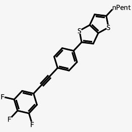 CCCCCc1cc2sc(-c3ccc(C#Cc4cc(F)c(F)c(F)c4)cc3)cc2s1